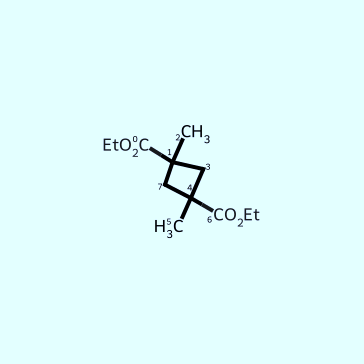 CCOC(=O)C1(C)CC(C)(C(=O)OCC)C1